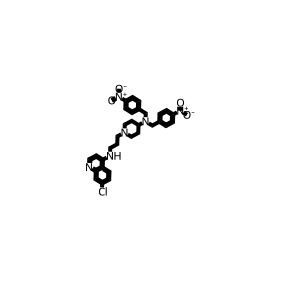 O=[N+]([O-])c1ccc(CN(Cc2ccc([N+](=O)[O-])cc2)C2CCN(CCCNc3ccnc4cc(Cl)ccc34)CC2)cc1